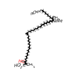 CCCCCCCCCCCCCCCCCC[C@@H](C)[C@H](CCCCCCCCCCCCCCCC[C@@H]1C[C@@H]1CCCCCCCCCCCCCCCCC[C@@H](O)[C@@H](C)C(=O)O)OC